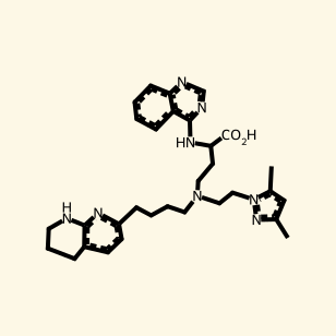 Cc1cc(C)n(CCN(CCCCc2ccc3c(n2)NCCC3)CCC(Nc2ncnc3ccccc23)C(=O)O)n1